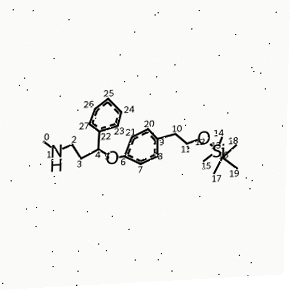 CNCCC(Oc1ccc(CCO[Si](C)(C)C(C)(C)C)cc1)c1ccccc1